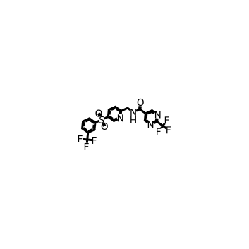 O=C(NCc1ccc(S(=O)(=O)c2cccc(C(F)(F)F)c2)cn1)c1cnc(C(F)(F)F)nc1